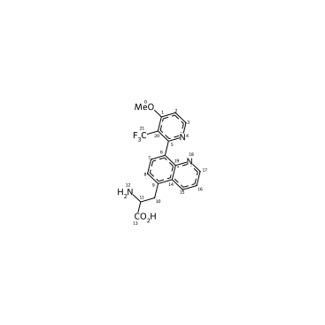 COc1ccnc(-c2ccc(CC(N)C(=O)O)c3cccnc23)c1C(F)(F)F